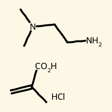 C=C(C)C(=O)O.CN(C)CCN.Cl